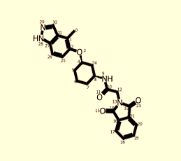 Cc1c(O[C@@H]2CCC[C@H](NC(=O)CN3C(=O)c4ccccc4C3=O)C2)ccc2[nH]ncc12